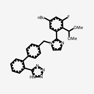 CCCCc1cc(F)c(C(OC)OC)c(-c2nccn2Cc2ccc(-c3ccccc3-c3nnn[nH]3)cc2)c1